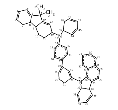 CC1(C)C2=CC=CCC2C2CCC(N(c3ccc(C4=CCCC(N5c6c(ccc7ccccc67)C6C=CC=CC65)=C4)cc3)C3C=CC=CC3)C=C21